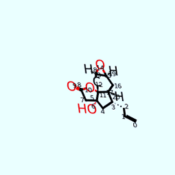 C=CC[C@@H]1C[C@@]2(O)CC(=O)O[C@@]23C[C@H]2O[C@H]2C[C@H]13